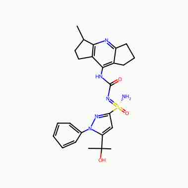 CC1CCc2c1nc1c(c2NC(=O)N=[S@@](N)(=O)c2cc(C(C)(C)O)n(-c3ccccc3)n2)CCC1